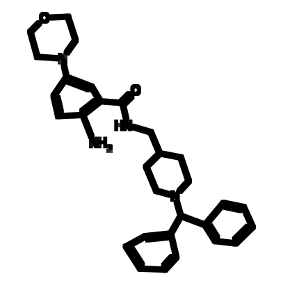 Nc1ccc(N2CCOCC2)cc1C(=O)NCC1CCN(C(c2ccccc2)c2ccccc2)CC1